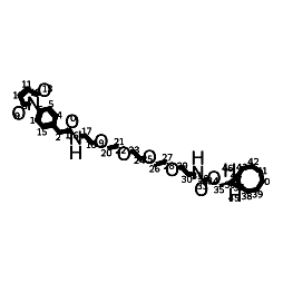 O=C(Cc1ccc(N2C(=O)C=CC2=O)cc1)NCCOCCOCCOCCOCCNC(=O)OC[C@@H]1[C@@H]2CCCCCC[C@@H]21